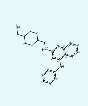 NCC1CCC(CNc2nc(Nc3ccccc3)c3ccccc3n2)CC1